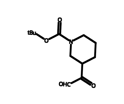 CC(C)(C)OC(=O)N1CCCC(C(=O)C=O)C1